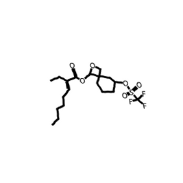 CCCCCC=C(CC)C(=O)OC1OCC12CCCC(OS(=O)(=O)C(F)(F)F)C2